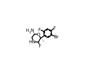 C[C@@]1(c2cc(Br)c(F)cc2F)O[C@@H](N)CNC1F